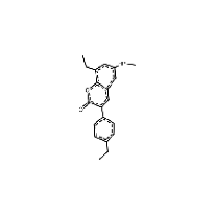 CCc1ccc(-c2cc3cc(PC)cc(CC)c3oc2=O)cc1